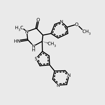 COc1ccc(C2C(=O)N(C)C(=N)N[C@]2(C)c2cc(-c3cncnc3)cs2)cn1